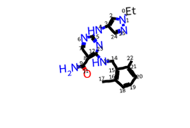 CCn1cc(Nc2ncc(C(N)=O)c(NCc3c(C)cccc3C)n2)cn1